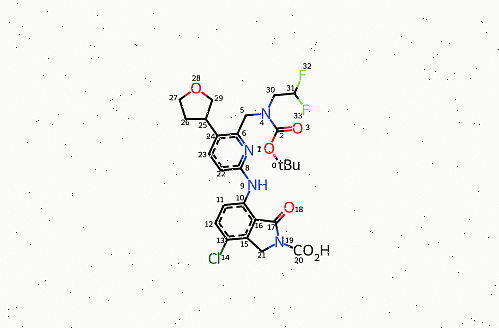 CC(C)(C)OC(=O)N(Cc1nc(Nc2ccc(Cl)c3c2C(=O)N(C(=O)O)C3)ccc1C1CCOC1)CC(F)F